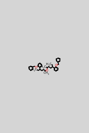 CCC(CCC(C)OC(C)CCC(CC)c1ccccc1OCc1ccccc1)c1ccccc1OCc1ccccc1